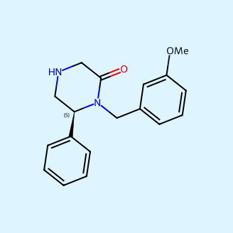 COc1cccc(CN2C(=O)CNC[C@@H]2c2ccccc2)c1